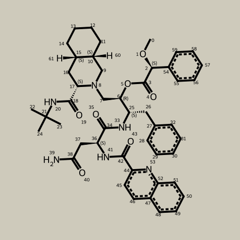 CO[C@H](C(=O)O[C@H](CN1C[C@H]2CCCC[C@H]2C[C@H]1C(=O)NC(C)(C)C)[C@H](Cc1ccccc1)NC(=O)[C@H](CC(N)=O)NC(=O)c1ccc2ccccc2n1)c1ccccc1